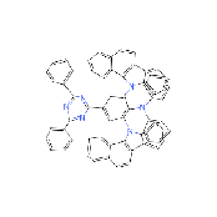 c1ccc(-c2nc(-c3ccccc3)nc(-c3cc(-n4c5ccccc5c5ccc6ccccc6c54)c(N(c4ccccc4)c4ccccc4)c(-n4c5ccccc5c5ccc6ccccc6c54)c3)n2)cc1